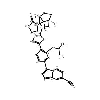 CC(C)Nc1cc(-c2ccc3cc(C#N)cnn23)ncc1-c1nnc(N2C[C@H]3CC[C@@H](C2)[C@@H]3N2CCOC2=O)s1